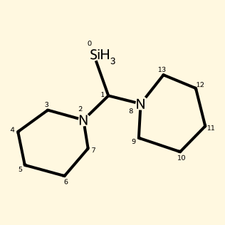 [SiH3]C(N1CCCCC1)N1CCCCC1